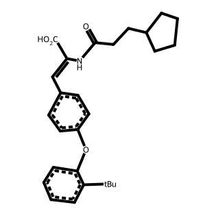 CC(C)(C)c1ccccc1Oc1ccc(/C=C(\NC(=O)CCC2CCCC2)C(=O)O)cc1